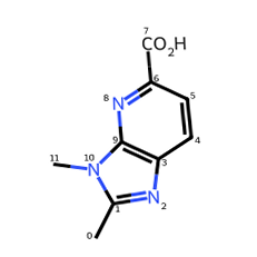 Cc1nc2ccc(C(=O)O)nc2n1C